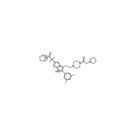 Cc1cc(C)cc(-c2[nH]c3sc(C(C)(C)C(=O)N4C5CCC4CC5)cc3c2CCN2CCN(C(=O)CN3CCCC3)CC2)c1